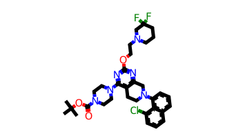 CC(C)(C)OC(=O)N1CCN(c2nc(OCCN3CCCC(F)(F)C3)nc3c2CCN(c2cccc4cccc(Cl)c24)C3)CC1